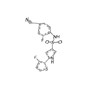 N#Cc1ccc(NS(=O)(=O)c2c[nH]c(-c3sccc3F)c2)c(F)c1